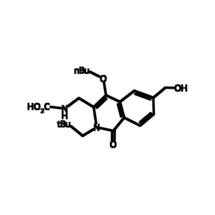 CCCCOc1c(CNC(=O)O)n(CC(C)(C)C)c(=O)c2ccc(CO)cc12